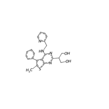 Cc1sc2nc(C(CO)CO)nc(NCc3ccccn3)c2c1-c1ccccc1